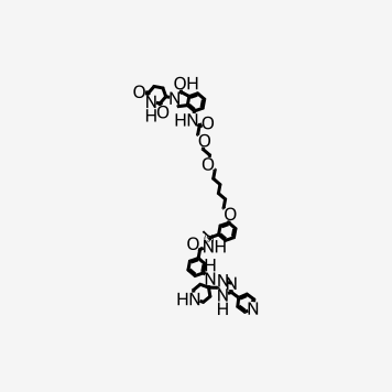 C[C@H](NC(=O)c1cccc(NC2(c3nnc(-c4ccncc4)[nH]3)CCNCC2)c1)c1cccc(OCCCCCCOCCOCC(=O)Nc2cccc3c2CN(C2CCC(=O)NC2=O)C3O)c1